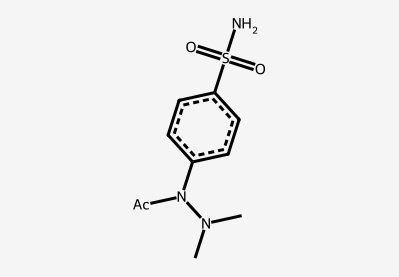 CC(=O)N(c1ccc(S(N)(=O)=O)cc1)N(C)C